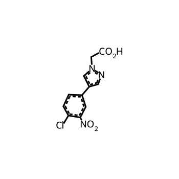 O=C(O)Cn1cc(-c2ccc(Cl)c([N+](=O)[O-])c2)cn1